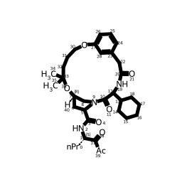 CCC[C@H](NC(=O)C1C[C@@H]2CN1C(=O)C(C1CCCCC1)NC(=O)Cc1cccc(c1)OCCCC(C)(C)O2)C(=O)C(C)=O